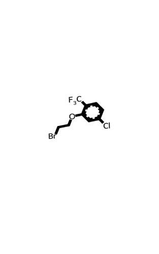 FC(F)(F)c1ccc(Cl)cc1OCCBr